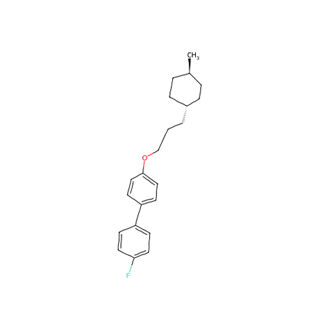 C[C@H]1CC[C@H](CCCOc2ccc(-c3ccc(F)cc3)cc2)CC1